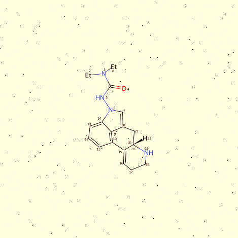 CCN(CC)C(=O)Nn1cc2c3c(cccc31)C1=CCCN[C@H]1C2